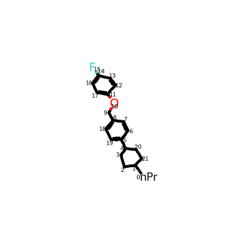 CCCC1CCC(c2ccc(COc3ccc(F)cc3)cc2)CC1